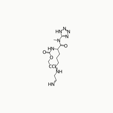 CN(C(=O)C(CCCCNCC=N)NC(=O)OCC(Cl)(Cl)Cl)c1nnn[nH]1